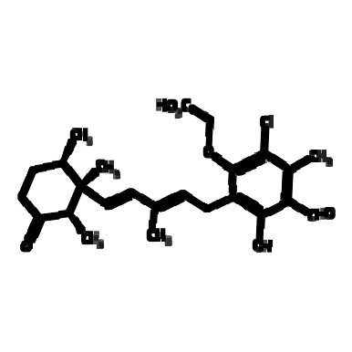 CC(/C=C/[C@@]1(C)[C@H](C)CCC(=O)[C@@H]1C)=C\Cc1c(O)c(C=O)c(C)c(Cl)c1OCC(=O)O